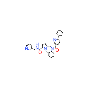 O=C(NCc1cccnc1)c1ccc2n1Cc1ccccc1N(C(=O)c1ccc(-c3ccccc3)nc1)C2